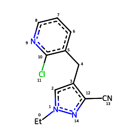 CCn1cc(Cc2cccnc2Cl)c(C#N)n1